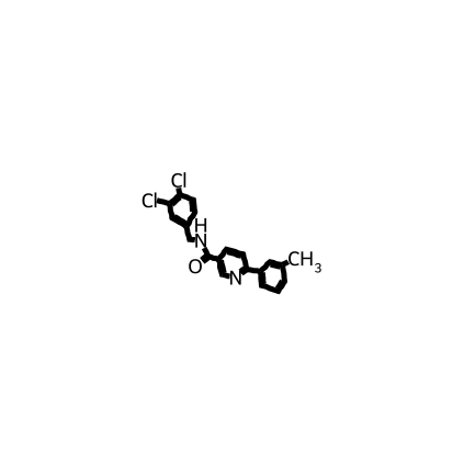 Cc1cccc(-c2ccc(C(=O)NCc3ccc(Cl)c(Cl)c3)cn2)c1